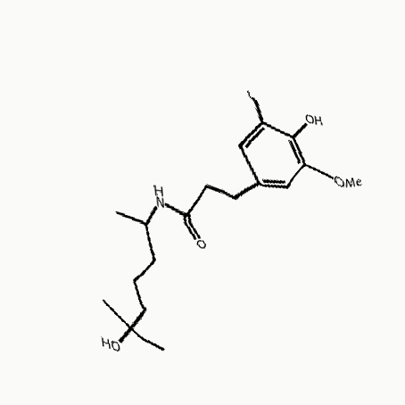 COc1cc(CCC(=O)NC(C)CCCC(C)(C)O)cc(I)c1O